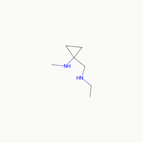 CCNCC1(NC)CC1